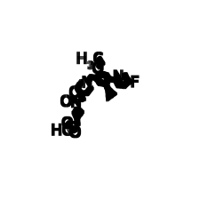 CCOc1cc(-c2ccc(F)cn2)c(C2CC2)cc1CN1CCC2(CC1)CN(C13CC(CS(=O)(=O)O)(C1)C3)C(=O)O2